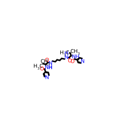 CC(C)[C@H](NC(=O)c1ccncc1)C(=O)NCCCCCCNC(=O)[C@H](NC(=O)c1ccncc1)C(C)C